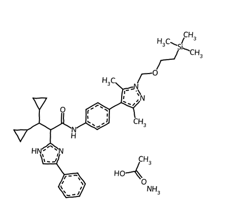 CC(=O)O.Cc1nn(COCC[Si](C)(C)C)c(C)c1-c1ccc(NC(=O)C(c2nc(-c3ccccc3)c[nH]2)C(C2CC2)C2CC2)cc1.N